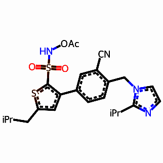 CC(=O)ONS(=O)(=O)c1sc(CC(C)C)cc1-c1ccc(Cn2ccnc2C(C)C)c(C#N)c1